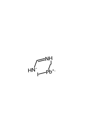 N=C[NH-].[I][Pb+][I]